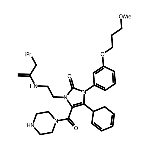 C=C(CC(C)C)NCCn1c(C(=O)N2CCNCC2)c(C2C=CC=CC2)n(-c2cccc(OCCCOC)c2)c1=O